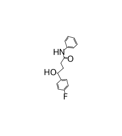 O=C(CCC(O)c1ccc(F)cc1)Nc1ccccc1